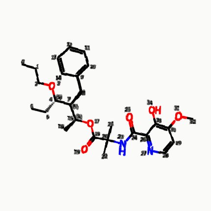 CCCO[C@@H](CC)[C@@H](Cc1ccccc1)[C@H](C)OC(=O)C(C)(C)NC(=O)c1nccc(OC)c1O